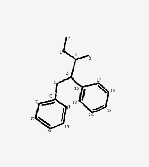 CCC(C)C(Cc1ccccc1)c1ccccc1